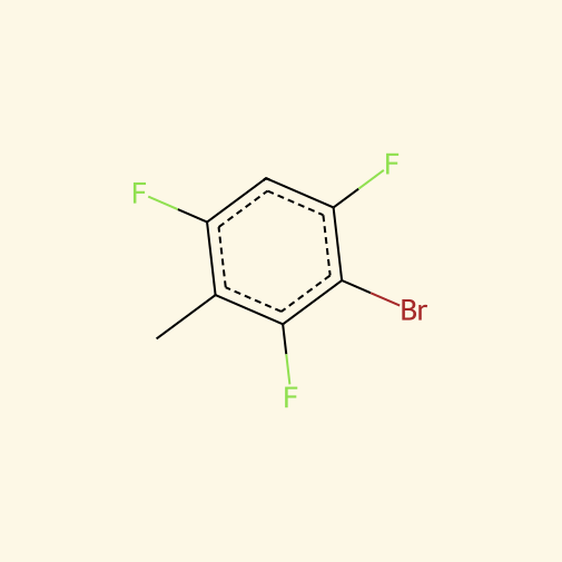 Cc1c(F)cc(F)c(Br)c1F